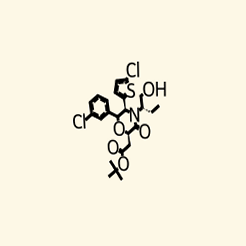 CC[C@@H](CO)N1C(=O)[C@@H](CC(=O)OC(C)(C)C)OC(c2cccc(Cl)c2)[C@H]1c1ccc(Cl)s1